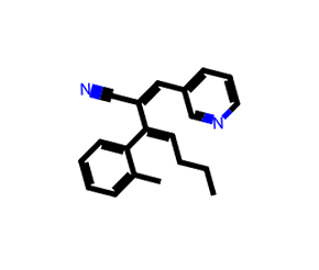 CCC/C=C(/C(C#N)=C\c1cccnc1)c1ccccc1C